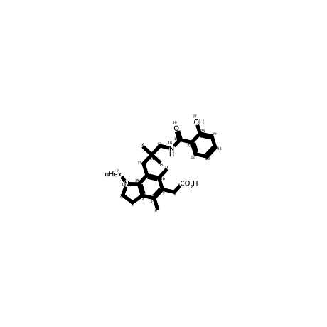 CCCCCCN1CCc2c(C)c(CC(=O)O)c(C)c(CC(C)(C)CNC(=O)c3ccccc3O)c21